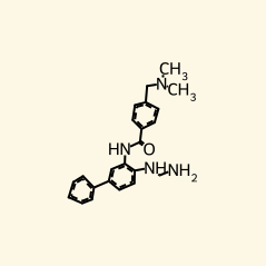 CN(C)Cc1ccc(C(=O)Nc2cc(-c3ccccc3)ccc2NCN)cc1